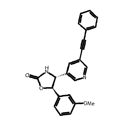 COc1cccc([C@H]2OC(=O)N[C@@H]2c2cncc(C#Cc3ccccc3)c2)c1